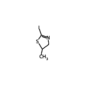 CC1CN=C(I)S1